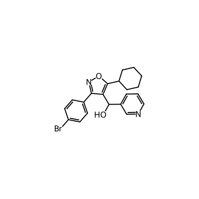 OC(c1cccnc1)c1c(-c2ccc(Br)cc2)noc1C1CCCCC1